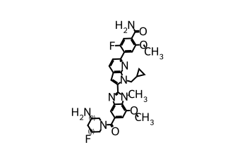 COc1cc(-c2ccc3cc(-c4nc5cc(C(=O)N6C[C@H](N)C[C@@H](F)C6)cc(OC)c5n4C)n(CC4CC4)c3n2)c(F)cc1C(N)=O